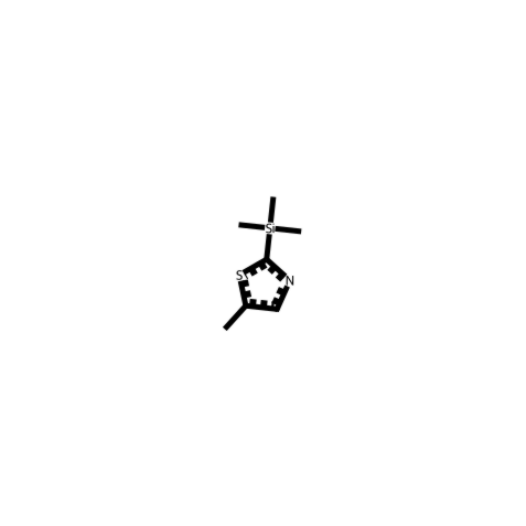 Cc1cnc([Si](C)(C)C)s1